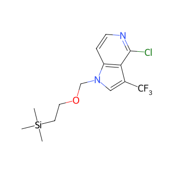 C[Si](C)(C)CCOCn1cc(C(F)(F)F)c2c(Cl)nccc21